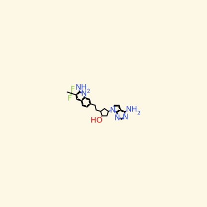 CC(F)(F)c1cc2ccc(CCC3CC(n4ccc5c(N)ncnc54)C[C@@H]3O)cc2nc1N